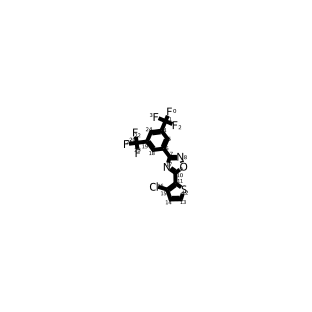 FC(F)(F)c1cc(-c2noc(-c3sccc3Cl)n2)cc(C(F)(F)F)c1